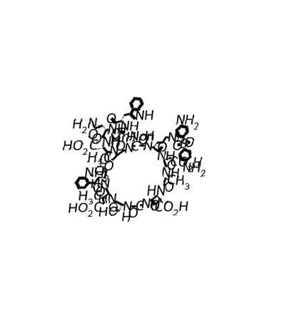 CCCCCCCCCC(=O)N[C@@H](Cc1c[nH]c2ccccc12)C(=O)N[C@@H](CC(N)=O)C(=O)N[C@@H](CC(=O)O)C(=O)N[C@H]1C(=O)NCC(=O)N[C@@H](CCCN)C(=O)N[C@@H](CC(=O)O)C(=O)N[C@H](C)C(=O)N[C@@H](CC(=O)O)C(=O)NCC(=O)N[C@H](CO)C(=O)N[C@H]([C@@H](C)CC(=O)O)C(=O)N[C@@H](CC(=O)c2ccccc2N)C(=O)O[C@@H]1C.Nc1ccc(S(=O)(=O)c2ccc(N)cc2)cc1